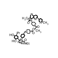 CCNC(=O)c1nnc(-c2cc(C(C)C)c(O)cc2O)n1-c1ccc(CN2CCN(C(=O)O[C@@H](C)C(=O)N3CCC(n4c(=O)n(C)c5cnc6ccc(-c7ccc(C)nc7)nc6c54)CC3)CC2)cc1